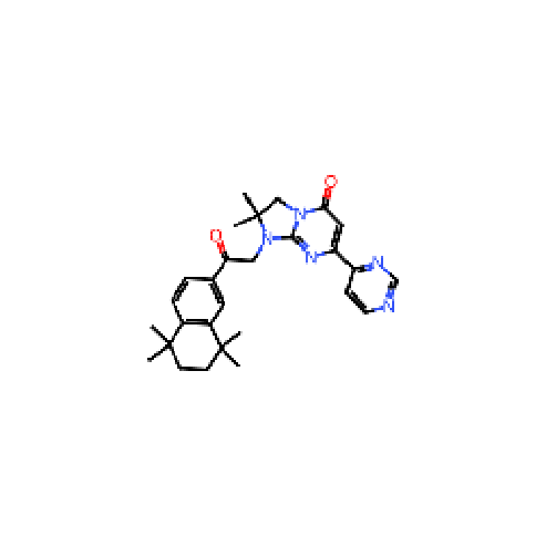 CC1(C)CCC(C)(C)c2cc(C(=O)CN3c4nc(-c5ccncn5)cc(=O)n4CC3(C)C)ccc21